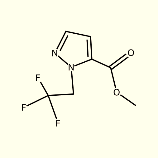 COC(=O)c1ccnn1CC(F)(F)F